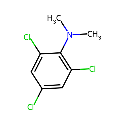 CN(C)c1c(Cl)cc(Cl)cc1Cl